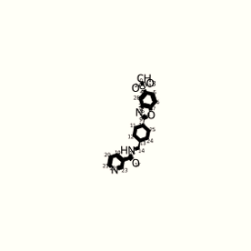 CS(=O)(=O)c1ccc2oc([C@H]3CC[C@H](CNC(=O)c4cccnc4)CC3)nc2c1